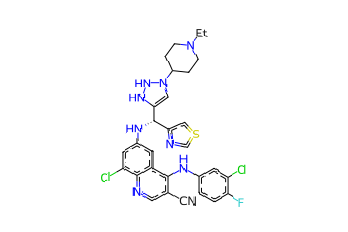 CCN1CCC(N2C=C([C@@H](Nc3cc(Cl)c4ncc(C#N)c(Nc5ccc(F)c(Cl)c5)c4c3)c3cscn3)NN2)CC1